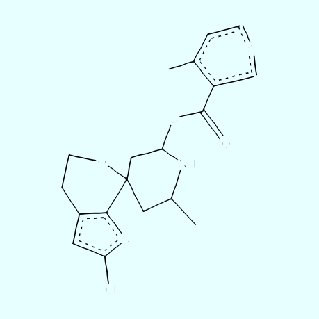 Cc1ccccc1C(=O)OC1CC2(CC(C)N1)OCCc1cc(Cl)sc12